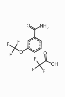 NC(=O)c1cccc(OC(F)(F)F)c1.O=C(O)C(F)(F)F